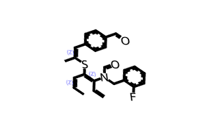 C=C/C(=C(\C=C/C)S/C(C)=C\c1ccc(C=O)cc1)N(C=O)Cc1ccccc1F